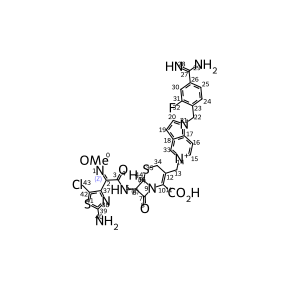 CO/N=C(\C(=O)N[C@@H]1C(=O)N2C(C(=O)O)=C(C[n+]3ccc4c(ccn4Cc4ccc(C(=N)N)cc4F)c3)CS[C@H]12)c1nc(N)sc1Cl